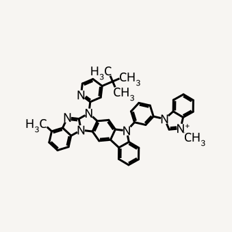 Cc1cccc2c1nc1n(-c3cc(C(C)(C)C)ccn3)c3cc4c(cc3n21)c1ccccc1n4-c1cccc(-n2c[n+](C)c3ccccc32)c1